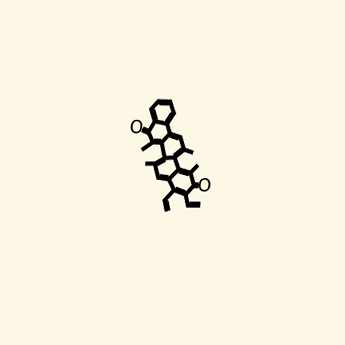 C=CC1=C(C=C)c2cc(C)c3c4c(cc(C)c3c2=C(C)C1=O)-c1ccccc1C(=O)C=4C